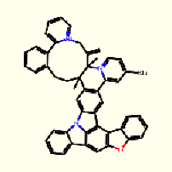 C=C1C[n+]2ccccc2-c2ccccc2CCC2(C)c3cc4c(cc3-c3cc(C(C)(C)C)cc[n+]3C12C)c1c2c(cc3c5ccccc5n4c31)oc1ccccc12